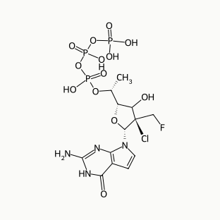 C[C@@H](OP(=O)(O)OP(=O)(O)OP(=O)(O)O)[C@H]1O[C@@H](n2ccc3c(=O)[nH]c(N)nc32)[C@@](Cl)(CF)C1O